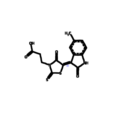 Cc1ccc2c(c1)/C(=C1/SC(=S)N(CCC(=O)O)C1=O)C(=O)N2